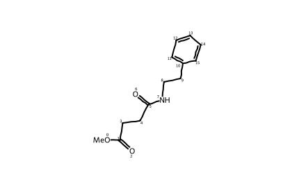 COC(=O)CCC(=O)NCCc1ccccc1